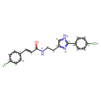 O=C(C=Cc1ccc(F)cc1)NCCc1c[nH]c(-c2ccc(Cl)cc2)n1